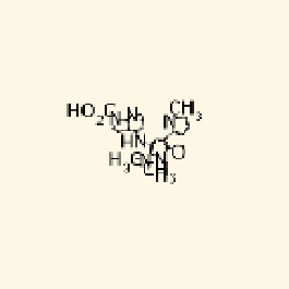 Cc1cccc(-c2cc(Nc3ccnc4c3ccn4C(=O)O)c(N(C)C)[nH]c2=O)n1